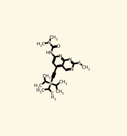 CSc1ncc2c(C#C[Si](C(C)C)(C(C)C)C(C)C)cc(NC(=O)N(C)C)nc2n1